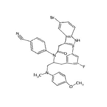 COc1ccc(N(C)CC(Cc2cc(F)cc(F)c2)N(C(=O)Cc2c[nH]c3ccc(Br)cc23)c2ccc(C#N)cc2)cc1